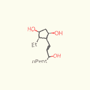 CCCCC[C@H](O)/C=C/C1[C@H](O)C[C@H](O)[C@@H]1CC